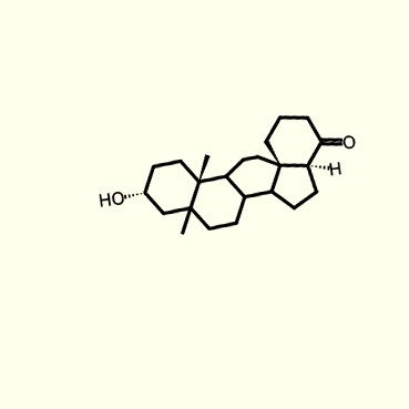 CC12CCC3C4CC[C@@H]5C(=O)CCC[C@]45CCC3[C@@]1(C)CC[C@@H](O)C2